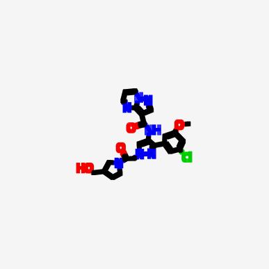 COc1cc(Cl)cc(-c2nn(CC(=O)N3CCC(CO)C3)cc2NC(=O)c2cnn3cccnc23)c1